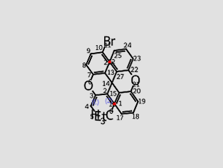 C/C=C1\C(=C/CC)Oc2ccc(Br)cc2C12c1ccccc1Oc1ccccc12